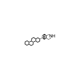 c1ccc2c(c1)ccc1c3ccc(C4Cc5ccc4c4c5CNCC4)cc3ccc21